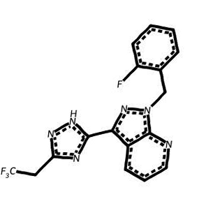 Fc1ccccc1Cn1nc(-c2nc(CC(F)(F)F)n[nH]2)c2cccnc21